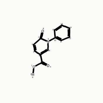 [2H]OC(=O)c1ccc(=O)n(-c2ccccc2)c1